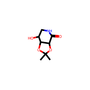 CC1(C)OC2C(=O)NCC(O)C2O1